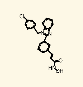 O=C(C=Cc1cccc(-c2nc3ccccc3n2Cc2ccc(Cl)cc2)c1)NO